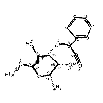 C#C[C@@H](O[C@H]1[C@H](O)[C@H](OC)O[C@@H](C)[C@H]1O)c1ccccc1